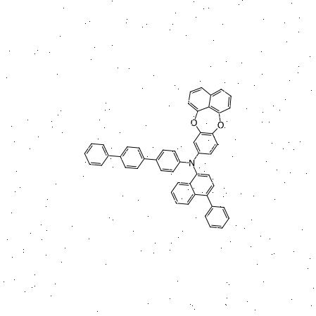 c1ccc(-c2ccc(-c3ccc(N(c4ccc5c(c4)Oc4cccc6cccc(c46)O5)c4ccc(-c5ccccc5)c5ccccc45)cc3)cc2)cc1